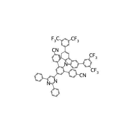 N#Cc1c#cc(-c2cc(-c3cc(-c4ccccc4)nc(-c4ccccc4)n3)cc(-c3ccc(C#N)cc3)c2-n2c3c(c4cc(-c5cc(C(F)(F)F)cc(C(F)(F)F)c5)ccc42)C=C(c2cc(C(F)(F)F)cc(C(F)(F)F)c2)CC3)cc1